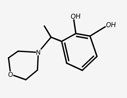 CC(c1cccc(O)c1O)N1CCOCC1